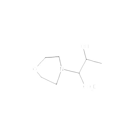 CCOC(=O)C(C(C)O)N1CCOCC1